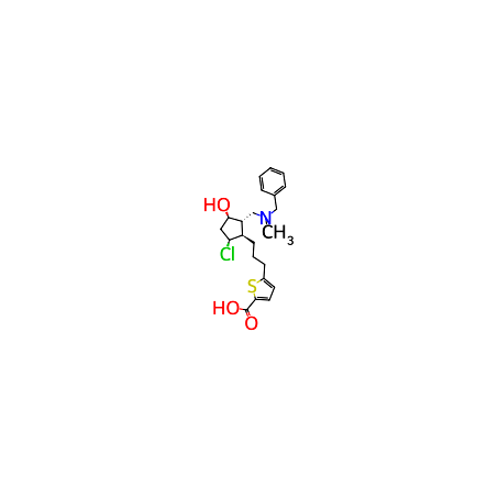 CN(Cc1ccccc1)C[C@@H]1[C@@H](CCCc2ccc(C(=O)O)s2)[C@@H](Cl)C[C@H]1O